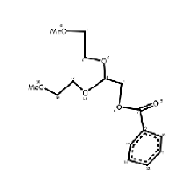 COCCOC(COC(=O)c1ccccc1)OCCOC